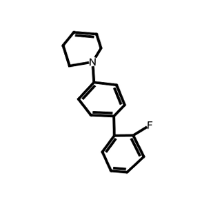 Fc1ccccc1-c1ccc(N2CC=CCC2)cc1